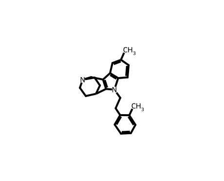 Cc1ccc2c(c1)c1c(n2CCc2ccccc2C)C2CCN(CC2)C1